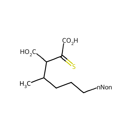 CCCCCCCCCCCCC(C)C(C(=O)O)C(=S)C(=O)O